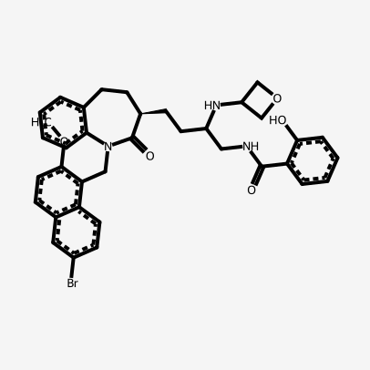 COc1ccc2cc(Br)ccc2c1CN1C(=O)[C@H](CCC(CNC(=O)c2ccccc2O)NC2COC2)CCc2ccccc21